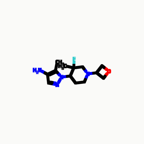 Cc1c(N)cnn1C1CCN(C2COC2)CC1(C)F